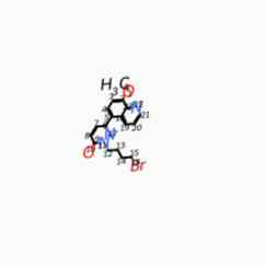 COc1ccc(-c2ccc(=O)n(CCCCBr)n2)c2cccnc12